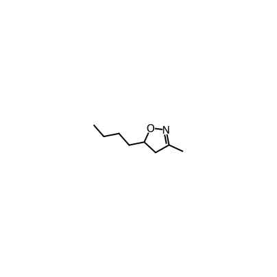 CCCCC1CC(C)=NO1